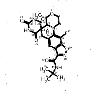 C[C@@H]1OCCN2c3c(cc4c(C(=O)NC(C)(C)C)noc4c3F)CC3(C(=O)NC(=O)NC3=O)[C@@H]12